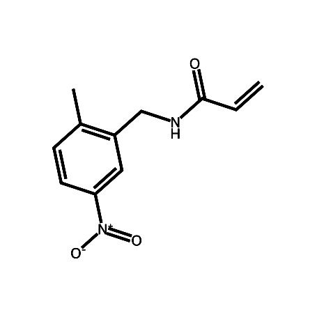 C=CC(=O)NCc1cc([N+](=O)[O-])ccc1C